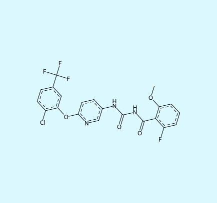 COc1cccc(F)c1C(=O)NC(=O)Nc1ccc(Oc2cc(C(F)(F)F)ccc2Cl)nc1